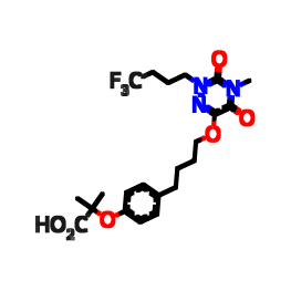 Cn1c(=O)c(OCCCCc2ccc(OC(C)(C)C(=O)O)cc2)nn(CCCC(F)(F)F)c1=O